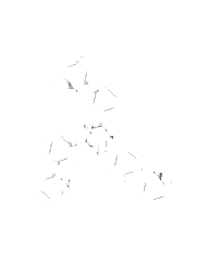 c1ccc(-c2ccc(-c3nc(-c4cccc(-c5ccccn5)c4)nc(-c4cccc(-c5ccccn5)c4)n3)cc2)nc1